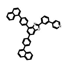 c1cc(-c2ccncc2)cc(-c2nc3c(-c4ccc(-c5cccc6ccccc56)cc4)cc(-c4ccc(-c5cccc6ccccc56)cc4)cc3o2)c1